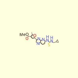 COC(=O)c1cc(-c2cnc3ccc(NC(=S)NCC4CC4)nc3n2)oc1C